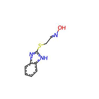 ON=CCSc1nc2ccccc2[nH]1